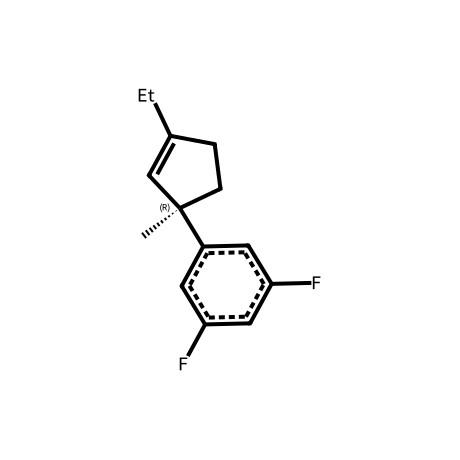 CCC1=C[C@](C)(c2cc(F)cc(F)c2)CC1